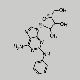 Nc1nc(Nc2ccccc2)nc2c1ncn2[C@@H]1O[C@H](CO)C(O)C1O